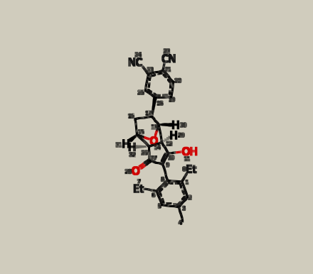 CCc1cc(C)cc(CC)c1C1=C(O)[C@@H]2[C@@H]3O[C@@H](C[C@H]3c3ccc(C#N)c(C#N)c3)[C@@H]2C1=O